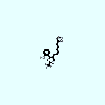 Oc1ccccc1C1OC(C(F)(F)F)OCC1C/C=C\CCCc1nnn[nH]1